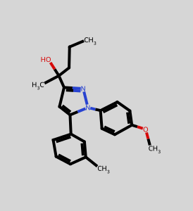 CCCC(C)(O)c1cc(-c2cccc(C)c2)n(-c2ccc(OC)cc2)n1